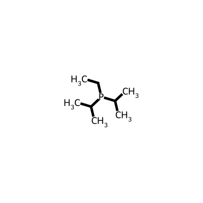 CCP(C(C)C)C(C)C